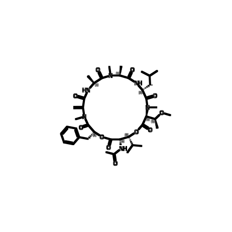 C=C1C(=O)N[C@@H](C)C(=O)N(C)[C@@H](C)C(=O)N[C@H]([CH]C(C)C)C(=O)N(C)[C@@H]([C@H](C)OC)C(=O)O[C@H](C(C)C)[C@H](NC(C)=O)C(=O)O[C@H](Cc2ccccc2)C(=O)N1C